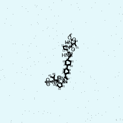 COC(=O)N[C@H](C(=O)N1[C@@H](C)CC[C@H]1c1ncc(-c2ccc(-c3ccc(-c4cnc([C@@H]5CC[C@H](C)N5C(=O)[C@@H](NC5OCO5)C(C)C)[nH]4)cc3)cc2)[nH]1)C(C)C